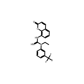 CCN(C(=N)Nc1cccc2ccc(=O)oc12)c1cccc(C(F)(F)F)c1